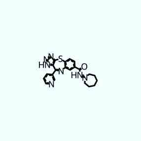 O=C(NN1CCCCCC1)c1ccc2c(c1)N=C(c1cccnc1)c1[nH]nnc1S2